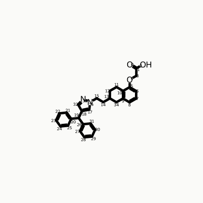 O=C(O)COc1cccc2c1CCC(CCn1cc(C(c3ccccc3)c3ccccc3)cn1)C2